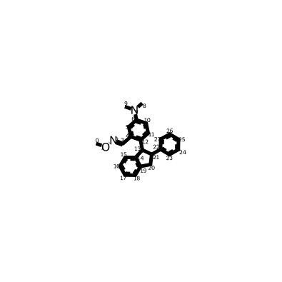 CON=Cc1cc(N(C)C)ccc1C1c2ccccc2CC1c1ccccc1